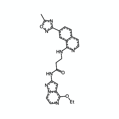 CCOc1nccn2nc(NC(=O)CCNc3nccc4ccc(-c5noc(C)n5)cc34)cc12